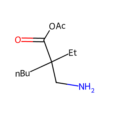 CCCCC(CC)(CN)C(=O)OC(C)=O